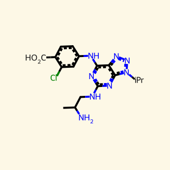 CC(N)CNc1nc(Nc2ccc(C(=O)O)c(Cl)c2)c2nnn(C(C)C)c2n1